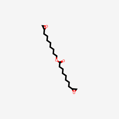 O=C(CCCCCCCC1CO1)OCCCCCCCCC1CO1